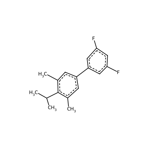 Cc1cc(-c2cc(F)cc(F)c2)cc(C)c1C(C)C